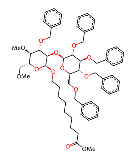 COC[C@H]1O[C@H](OCCCCCCCCC(=O)OC)[C@H](O[C@@H]2O[C@H](COCc3ccccc3)[C@@H](OCc3ccccc3)[C@H](OCc3ccccc3)[C@H]2OCc2ccccc2)[C@@H](OCc2ccccc2)[C@@H]1OC